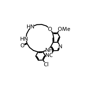 COc1cc2ncc(C#N)c3c2cc1OCCCNCCNC(=O)CCc1ccc(Cl)cc1N3